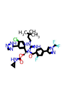 CC(C)(C)CCNC(=N)N(C(=O)c1ccc(-c2cnn(C(F)F)c2)cc1F)[C@H](COC(=O)NC1CC1)c1ccc(Cl)c(-c2ncn[nH]2)c1